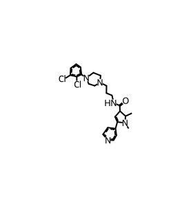 CC1C(C(=O)NCCCN2CCN(c3cccc(Cl)c3Cl)CC2)C=C(c2ccncc2)N1C